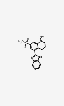 CCCN1CCCc2c(-c3nc4cnccc4[nH]3)cc(S(C)(=O)=O)cc21